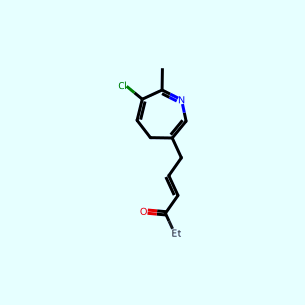 CCC(=O)/C=C/CC1=CN=C(C)C(Cl)=CC1